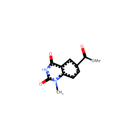 COC(=O)c1ccc2c(c1)c(=O)[nH]c(=O)n2C